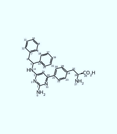 Nc1nc(NC(Cc2ccccc2)c2ccccc2)cc(-c2ccc(C[C@H](N)C(=O)O)cc2)n1